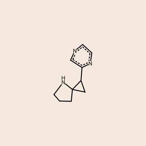 c1cnc(C2CC23CCCN3)cn1